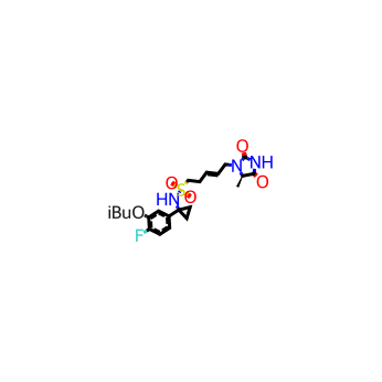 CC(C)COc1cc(C2(NS(=O)(=O)CC/C=C/CN3C(=O)NC(=O)[C@H]3C)CC2)ccc1F